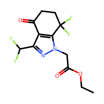 CCOC(=O)Cn1nc(C(F)F)c2c1C(F)(F)CCC2=O